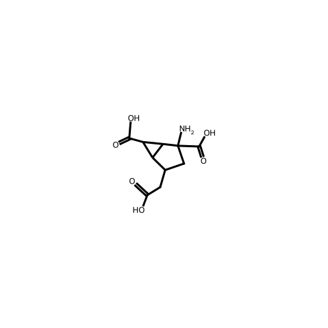 NC1(C(=O)O)CC(CC(=O)O)C2C(C(=O)O)C21